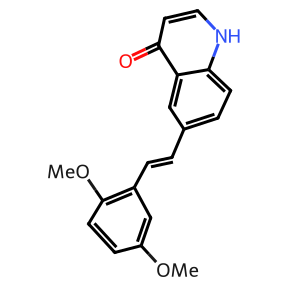 COc1ccc(OC)c(C=Cc2ccc3[nH]ccc(=O)c3c2)c1